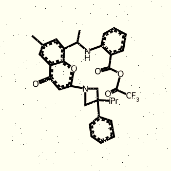 Cc1cc(C(C)Nc2ccccc2C(=O)OC(=O)C(F)(F)F)c2oc(N3CC(c4ccccc4)(C(C)C)C3)cc(=O)c2c1